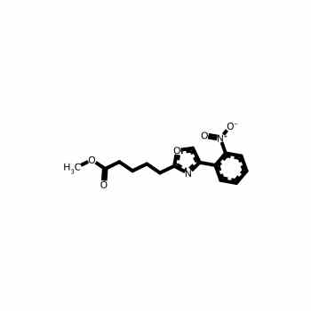 COC(=O)CCCCc1nc(-c2ccccc2[N+](=O)[O-])co1